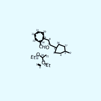 C=C.CC1CCC(CCc2ccccc2C=O)CC1.CCOC(C)OCC